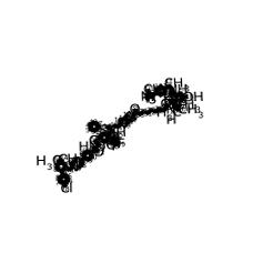 Cc1ncsc1-c1ccc([C@H](C)NC(=O)C2CC(O)CN2C(=O)[C@@H](NC(=O)CCCCCCCC(=O)N2CC3CN(CC[C@H](CSc4ccccc4)Nc4ccc(S(=O)(=O)NC(=O)c5ccc(N6CCN(CC7=C(c8ccc(Cl)cc8)CCC(C)(C)C7)CC6)cc5)cc4S(=O)(=O)C(F)(F)F)CC3C2)C(C)(C)C)cc1